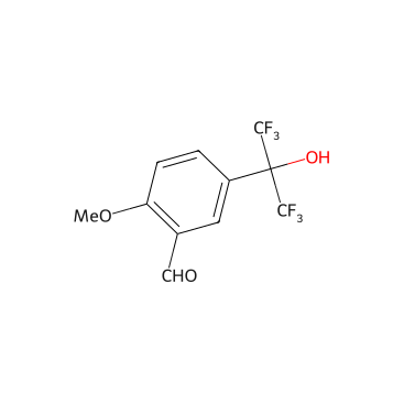 COc1ccc(C(O)(C(F)(F)F)C(F)(F)F)cc1C=O